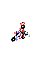 CC(C)(CCCCCl)C(NC[C@@H](O)[C@H](Cc1ccccc1)NC(=O)O[C@H]1CCOC1)S(=O)(=O)c1ccc2c(c1)OCO2